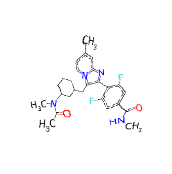 CNC(=O)c1cc(F)c(-c2nc3cc(C)ccn3c2CC2CCCC(N(C)C(C)=O)C2)c(F)c1